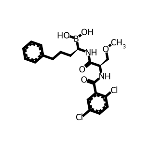 COC[C@@H](NC(=O)c1cc(Cl)ccc1Cl)C(=O)N[C@@H](CCCc1ccccc1)B(O)O